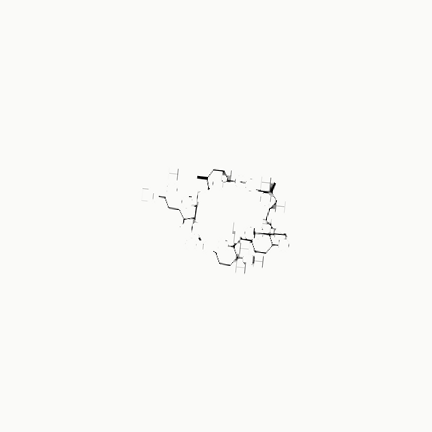 C=C1C2C[C@@H]3OC(CC(O)CC)[C@H](C)[C@H]3CC(=O)CC3CC[C@@H]4O[C@H]5CC6O[C@]7(CC[C@H]8CC(=C)[C@H](CC[C@@H](C[C@H]1C)O2)O8)C[C@H]6O[C@H]5[C@@H](O7)[C@H]4O3